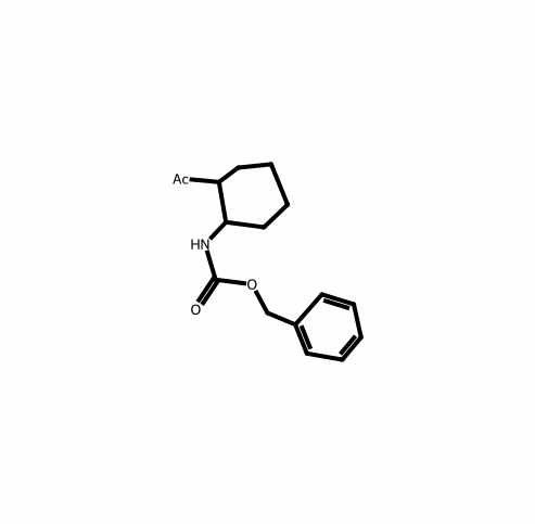 CC(=O)C1CCCCC1NC(=O)OCc1ccccc1